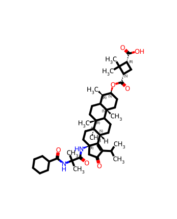 CC(C)C1=C2[C@H]3CCC4[C@@]5(C)CC[C@H](OC(=O)[C@H]6C[C@@H](C(=O)O)C6(C)C)[C@H](C)C5CC[C@@]4(C)[C@]3(C)CC[C@@]2(NC(=O)C(C)(C)NC(=O)C2CCCCC2)CC1=O